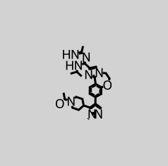 CC(=N)/N=C(\NC(C)C)c1cn2c(n1)-c1ccc(-c3cnn(C)c3C3CCN(C(C)=O)CC3)cc1OCC2